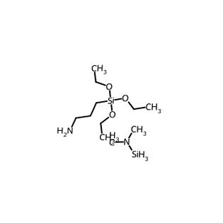 CCO[Si](CCCN)(OCC)OCC.CN(C)[SiH3]